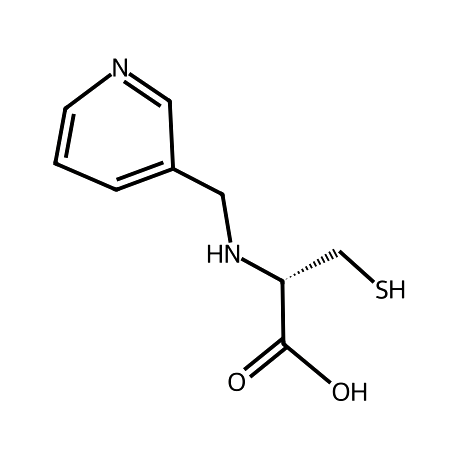 O=C(O)[C@@H](CS)NCc1cccnc1